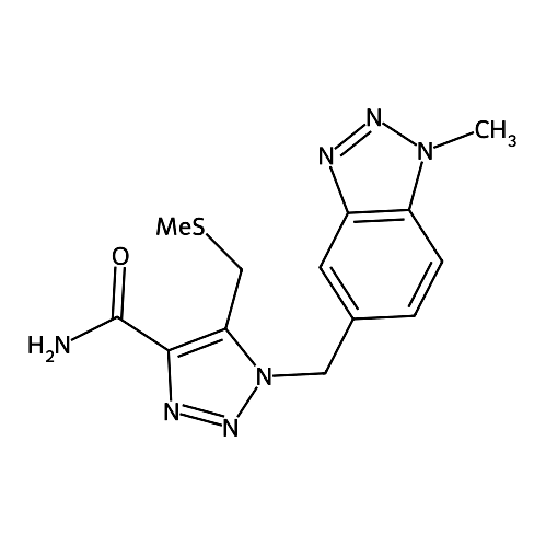 CSCc1c(C(N)=O)nnn1Cc1ccc2c(c1)nnn2C